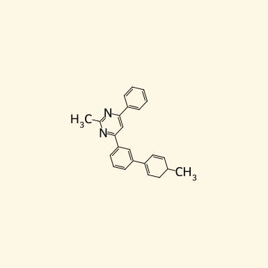 Cc1nc(-c2ccccc2)cc(-c2cccc(C3=CCC(C)C=C3)c2)n1